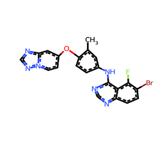 Cc1cc(Nc2ncnc3ccc(Br)c(F)c23)ccc1Oc1ccn2ncnc2c1